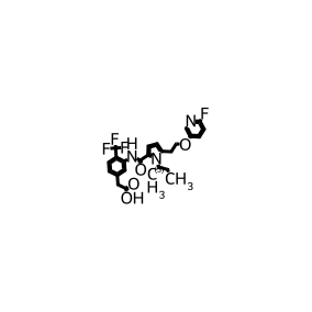 CC[C@H](C)n1c(CCOc2ccc(F)nc2)ccc1C(=O)Nc1cc(CC(=O)O)ccc1C(F)(F)F